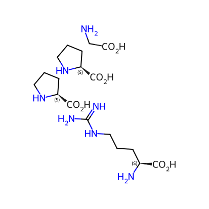 N=C(N)NCCC[C@H](N)C(=O)O.NCC(=O)O.O=C(O)[C@@H]1CCCN1.O=C(O)[C@@H]1CCCN1